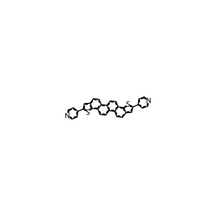 c1cc(-c2cc3ccc4c5ccc6c(ccc7cc(-c8ccncc8)sc76)c5ccc4c3s2)ccn1